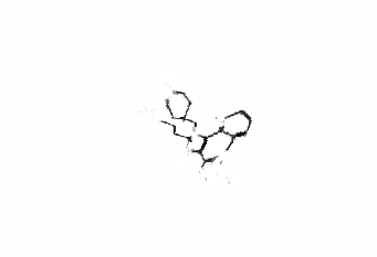 Nc1nc2cccnc2c2c1nc(CCCO)n2CC1(O)CCOCC1